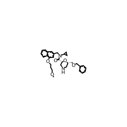 COCCCOc1cc(CN(C(=O)[C@H]2CNC[C@@H](COCc3ccccc3)O2)C2CC2)cc2ccccc12